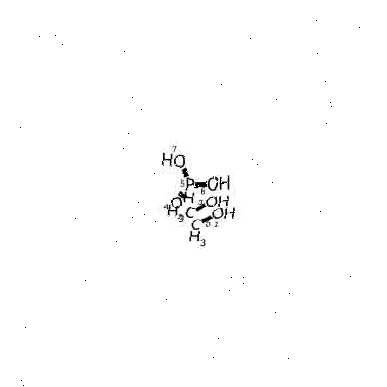 CO.CO.O=[PH](O)O